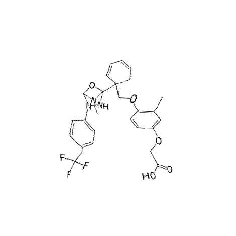 Cc1cc(OCC(=O)O)ccc1OCC1(C23NN(c4ccc(C(F)(F)F)cc4)C(O2)N3C)C=CC=CC1